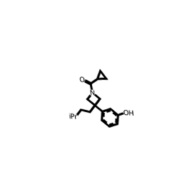 CC(C)CCC1(c2cccc(O)c2)CN(C(=O)C2CC2)C1